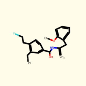 C=C(Cc1ccccc1OCC)NC(O)c1ccc(CCF)c(CC(C)C)c1